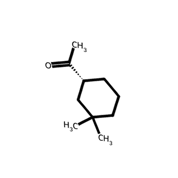 CC(=O)[C@@H]1CCCC(C)(C)C1